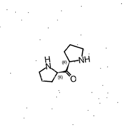 O=C([C@H]1CCCN1)[C@H]1CCCN1